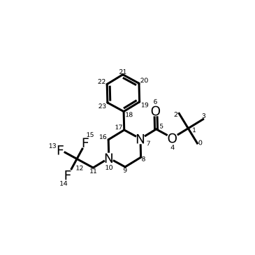 CC(C)(C)OC(=O)N1CCN(CC(F)(F)F)CC1c1ccccc1